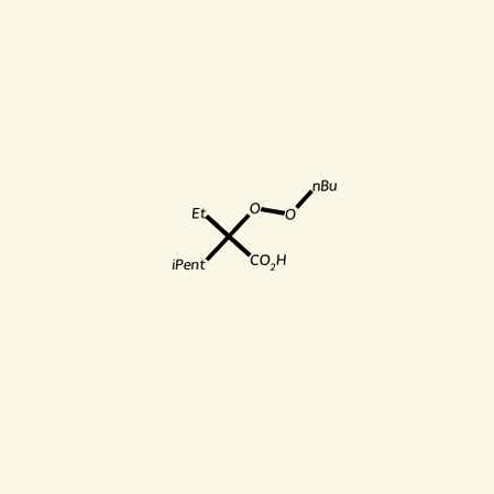 CCCCOOC(CC)(C(=O)O)C(C)CCC